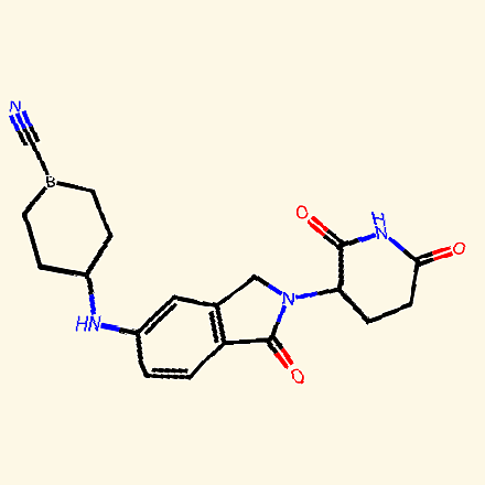 N#CB1CCC(Nc2ccc3c(c2)CN(C2CCC(=O)NC2=O)C3=O)CC1